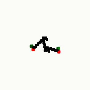 CC(=CCCC=C(C)CCCCCCC(=O)Cl)CCCCCCC(=O)Cl